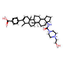 CC1C(c2ccc(C(=O)O)cc2)=CCC2(C)C1CCC1(C)C2CCC2C3CCCC3(NC(=O)N3CCN(CCO)CC3)CC[C@]21C